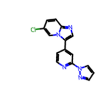 Clc1ccc2ncc(-c3ccnc(-n4cccn4)c3)n2c1